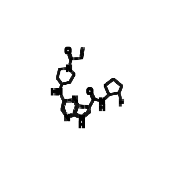 C=CC(=O)N1CCC(Nc2cnc3[nH]cc(C(=O)NC4CCCC4F)c3n2)CC1